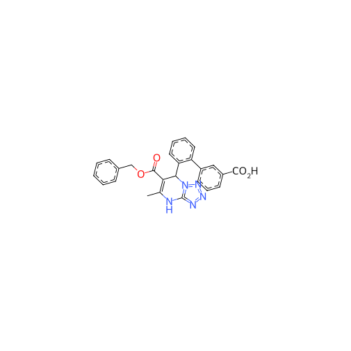 CC1=C(C(=O)OCc2ccccc2)C(c2ccccc2-c2cccc(C(=O)O)c2)n2nnnc2N1